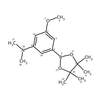 COc1cc(B2OC(C)(C)C(C)(C)O2)cc(N(C)C)c1